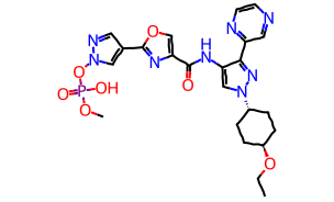 CCO[C@H]1CC[C@H](n2cc(NC(=O)c3coc(-c4cnn(OP(=O)(O)OC)c4)n3)c(-c3cnccn3)n2)CC1